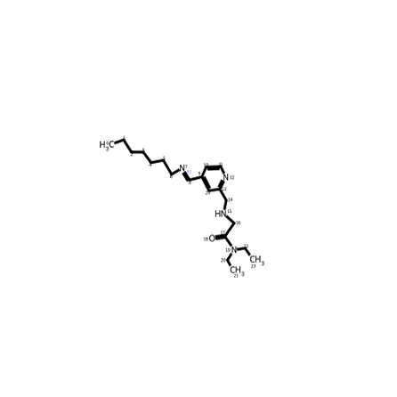 CCCCCCC/N=C/c1ccnc(CNCC(=O)N(CC)CC)c1